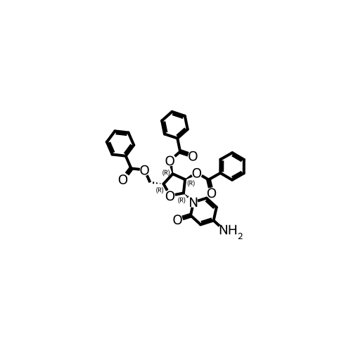 Nc1ccn([C@@H]2O[C@H](COC(=O)c3ccccc3)[C@@H](OC(=O)c3ccccc3)[C@H]2OC(=O)c2ccccc2)c(=O)c1